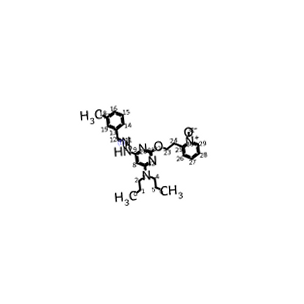 CCCN(CCC)c1cc(N/N=C/c2cccc(C)c2)nc(OCCc2cccc[n+]2[O-])n1